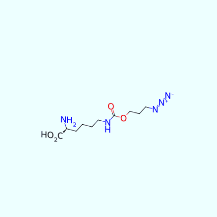 [N-]=[N+]=NCCCOC(=O)NCCCC[C@H](N)C(=O)O